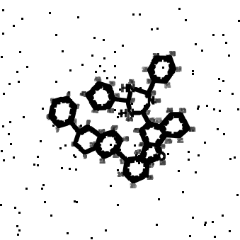 C1=C(c2ccccc2)CCc2cc(-c3cccc4oc5c6ccccc6c(C6N=C(c7ccccc7)NC(c7ccccc7)N6)cc5c34)ccc21